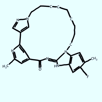 Cc1cc2cc(n1)-c1cnn(c1)CCCCCCCCCN1/C(=N/C2=O)Nc2cc(F)c(C)cc21